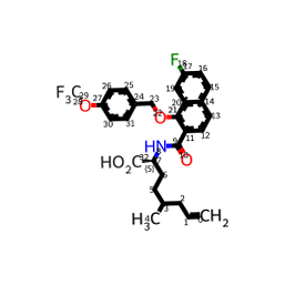 C=CCC(C)CC[C@H](NC(=O)c1ccc2ccc(F)cc2c1OCc1ccc(OC(F)(F)F)cc1)C(=O)O